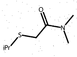 CC(C)SCC(=O)N(C)C